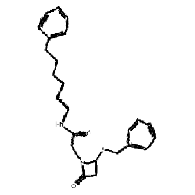 O=C(CN1C(=O)CC1SCc1ccccc1)NCCCCCCc1ccccc1